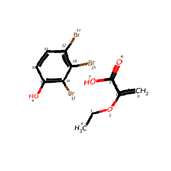 C=C(OCC)C(=O)O.Oc1ccc(Br)c(Br)c1Br